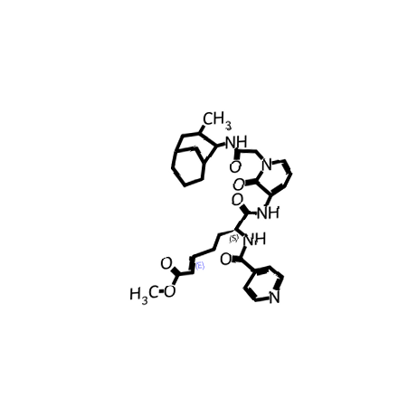 COC(=O)/C=C/CC[C@H](NC(=O)c1ccncc1)C(=O)Nc1cccn(CC(=O)NC2C(C)CC3CCCC2C3)c1=O